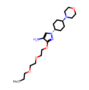 COCCOCCOCCOc1nn([C@H]2CC[C@H](N3CCOCC3)CC2)cc1N